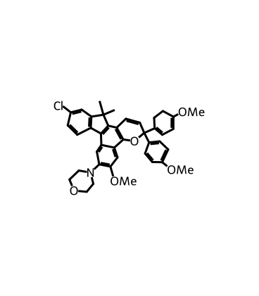 COC1=CC=C(C2(c3ccc(OC)cc3)C=Cc3c4c(c5cc(N6CCOCC6)c(OC)cc5c3O2)-c2ccc(Cl)cc2C4(C)C)CC1